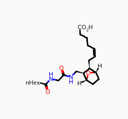 CCCCCCC(=O)NCC(=O)NC[C@H]1[C@@H](C/C=C\CCCC(=O)O)[C@@H]2CC[C@H]1O2